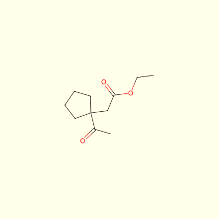 CCOC(=O)CC1(C(C)=O)CCCC1